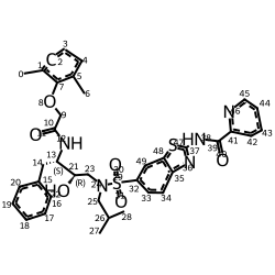 Cc1cccc(C)c1OCC(=O)N[C@@H](Cc1ccccc1)[C@H](O)CN(CC(C)C)S(=O)(=O)c1ccc2nc(NC(=O)c3ccccn3)sc2c1